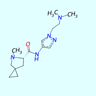 CN(C)CCn1cc(NC(=O)[C@@H]2CC3(CC3)CN2C)cn1